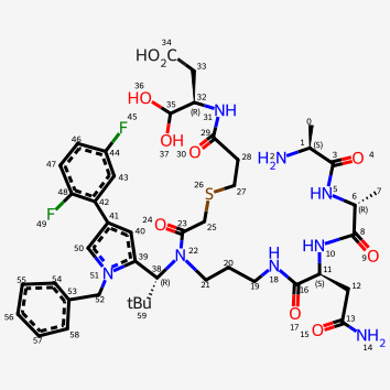 C[C@H](N)C(=O)N[C@H](C)C(=O)N[C@@H](CC(N)=O)C(=O)NCCCN(C(=O)CSCCC(=O)N[C@H](CC(=O)O)C(O)O)[C@@H](c1cc(-c2cc(F)ccc2F)cn1Cc1ccccc1)C(C)(C)C